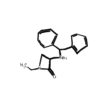 CCN1CC(NC(c2ccccc2)c2ccccc2)C1=O